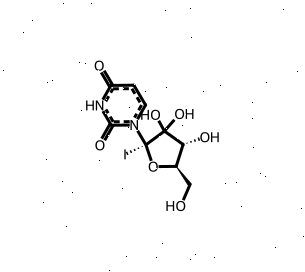 O=c1ccn([C@]2(I)O[C@H](CO)[C@@H](O)C2(O)O)c(=O)[nH]1